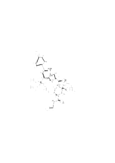 CC(C)(C)c1cc(-c2ccc(F)cc2)nn2cc(C(=O)N3CCN(C(=O)CCCl)CC3(C)C)nc12